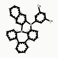 N#Cc1cc(C#N)cc(N2c3cc4ccccc4cc3N3c4ccccc4-c4ccccc4-c4cccc2c43)c1